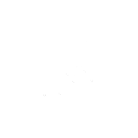 COc1ccc(-c2noc(C3CNCCN3C(=O)COc3ccccc3)n2)cn1